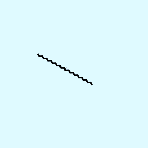 CCCCCCCCCCC=C/[C]=C/CCCCCCCCCCCC